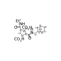 CCNC(=O)C1CC(C(=O)O)C(C(=O)NCC2CC3CCC2C3)C1C(=O)O